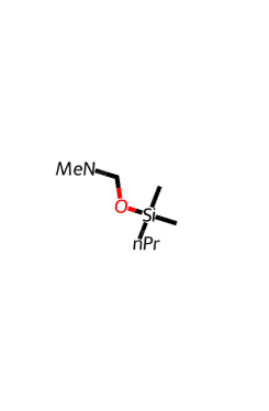 CCC[Si](C)(C)OCNC